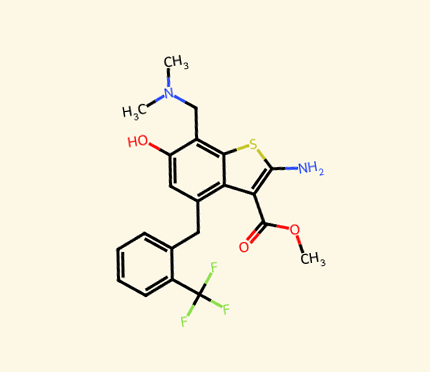 COC(=O)c1c(N)sc2c(CN(C)C)c(O)cc(Cc3ccccc3C(F)(F)F)c12